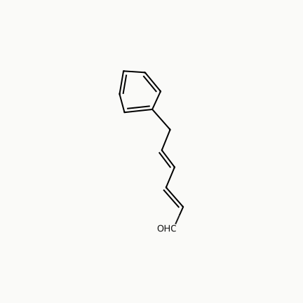 O=C/C=C/C=C/Cc1ccccc1